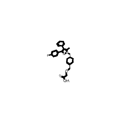 Cc1c(-c2ccccc2)c(-c2ccc(F)cc2)nn1C[C@H]1CC[C@H](COCC(=O)O)CC1